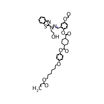 C=CC(=O)OCCCCCCOc1ccc(OC(=O)C2CCC(C(=O)Oc3ccc(OC=O)cc3/C=N/N(CCO)c3nc4ccccc4s3)CC2)cc1